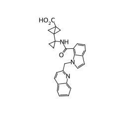 O=C(NC1(C23CC2(C(=O)O)C3)CC1)c1cccc2ccn(Cc3ccc4ccccc4n3)c12